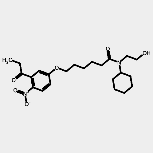 CCC(=O)c1cc(OCCCCCC(=O)N(CCO)C2CCCCC2)ccc1[N+](=O)[O-]